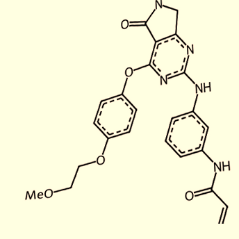 C=CC(=O)Nc1cccc(Nc2nc3c(c(Oc4ccc(OCCOC)cc4)n2)C(=O)NC3)c1